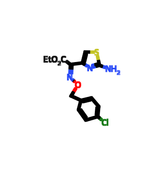 CCOC(=O)C(=NOCc1ccc(Cl)cc1)c1csc(N)n1